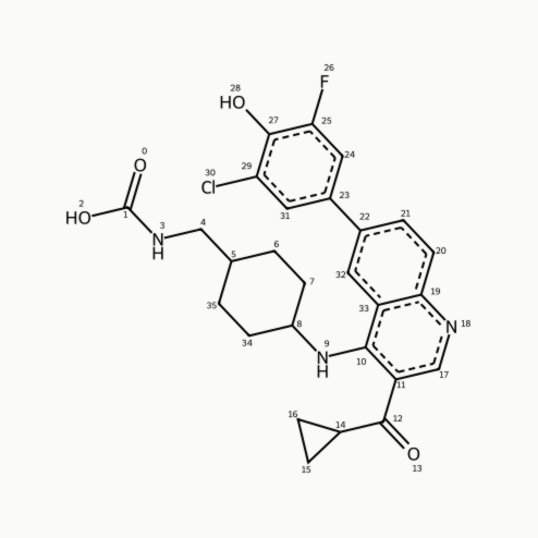 O=C(O)NCC1CCC(Nc2c(C(=O)C3CC3)cnc3ccc(-c4cc(F)c(O)c(Cl)c4)cc23)CC1